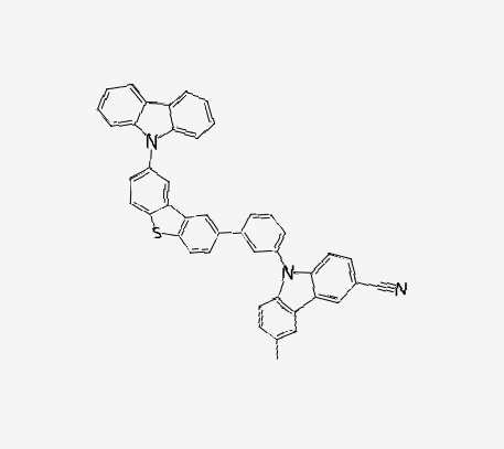 Cc1ccc2c(c1)c1cc(C#N)ccc1n2-c1cccc(-c2ccc3sc4ccc(-n5c6ccccc6c6ccccc65)cc4c3c2)c1